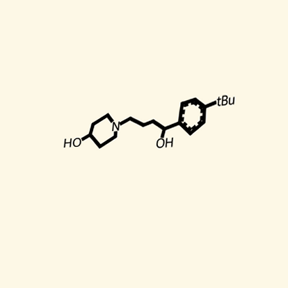 CC(C)(C)c1ccc(C(O)CCCN2CCC(O)CC2)cc1